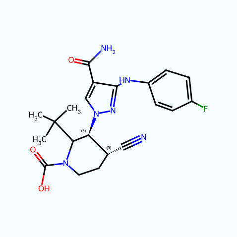 CC(C)(C)C1[C@@H](n2cc(C(N)=O)c(Nc3ccc(F)cc3)n2)[C@H](C#N)CCN1C(=O)O